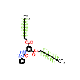 O=C(Nc1ccccc1)Nc1cc(C(=O)OCCC(F)(F)C(F)(F)C(F)(F)C(F)(F)C(F)(F)C(F)(F)C(F)(F)C(F)(F)F)cc(C(=O)OCCC(F)(F)C(F)(F)C(F)(F)C(F)(F)C(F)(F)C(F)(F)C(F)(F)C(F)(F)F)c1